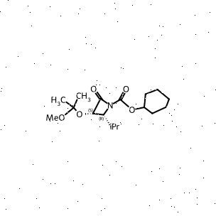 COC(C)(C)O[C@@H]1C(=O)N(C(=O)OC2CCCCC2)[C@@H]1C(C)C